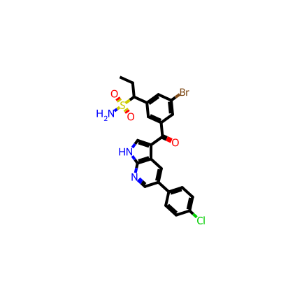 CCC(c1cc(Br)cc(C(=O)c2c[nH]c3ncc(-c4ccc(Cl)cc4)cc23)c1)S(N)(=O)=O